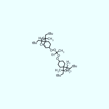 CCC(C)(OOC1CCC(C(C)(C)CC(C)(C)C)(C(C)(C)CC(C)(C)C)CC1)OOC1CCC(C(C)(C)CC(C)(C)C)(C(C)(C)CC(C)(C)C)CC1